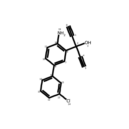 C#CC(O)(C#C)c1cc(-c2cccc(Cl)c2)ccc1N